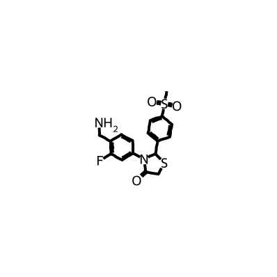 CS(=O)(=O)c1ccc(C2SCC(=O)N2c2ccc(CN)c(F)c2)cc1